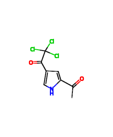 CC(=O)c1cc(C(=O)C(Cl)(Cl)Cl)c[nH]1